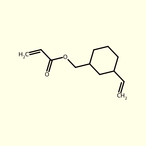 C=CC(=O)OCC1CCCC(C=C)C1